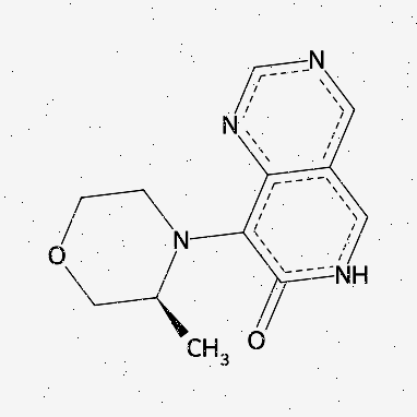 C[C@H]1COCCN1c1c(=O)[nH]cc2cncnc12